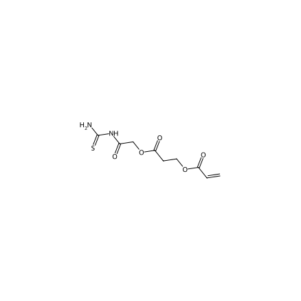 C=CC(=O)OCCC(=O)OCC(=O)NC(N)=S